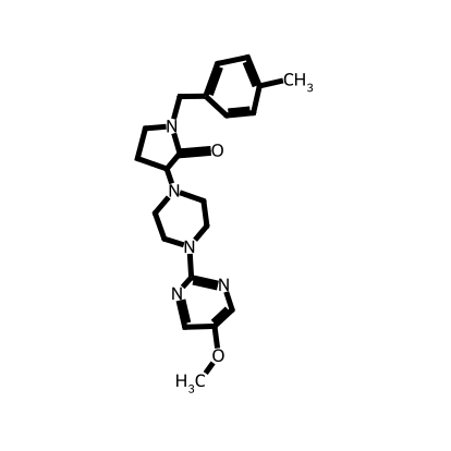 COc1cnc(N2CCN(C3CCN(Cc4ccc(C)cc4)C3=O)CC2)nc1